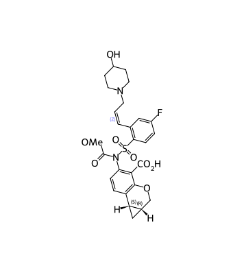 COC(=O)N(c1ccc2c(c1C(=O)O)OC[C@@H]1C[C@H]21)S(=O)(=O)c1ccc(F)cc1/C=C\CN1CCC(O)CC1